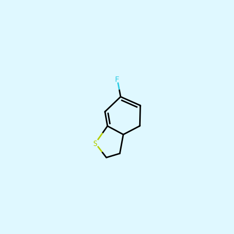 FC1=CCC2CCSC2=C1